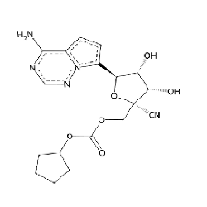 N#C[C@]1(COC(=O)OC2CCCC2)O[C@@H](c2ccc3c(N)ncnn23)[C@H](O)[C@@H]1O